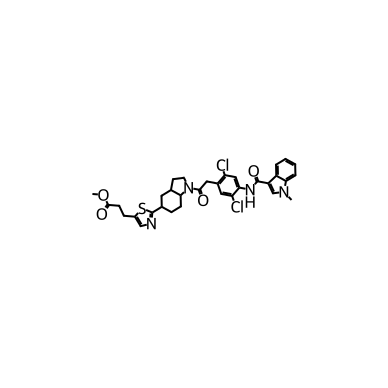 COC(=O)CCc1cnc(C2CCC3C(CCN3C(=O)Cc3cc(Cl)c(NC(=O)c4cn(C)c5ccccc45)cc3Cl)C2)s1